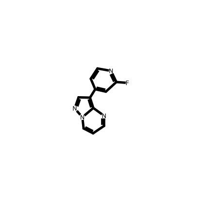 Fc1cc(-c2cnn3cccnc23)ccn1